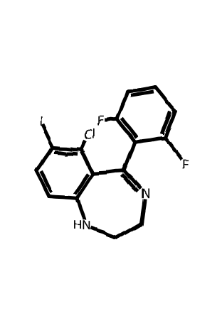 Fc1cccc(F)c1C1=NCCNc2ccc(I)c(Cl)c21